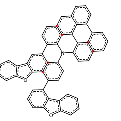 c1ccc(-c2cccc3cccc(-c4ccccc4N(c4ccc(-c5cccc6oc7ccccc7c56)cc4)c4ccccc4-c4ccc5oc6ccccc6c5c4)c23)cc1